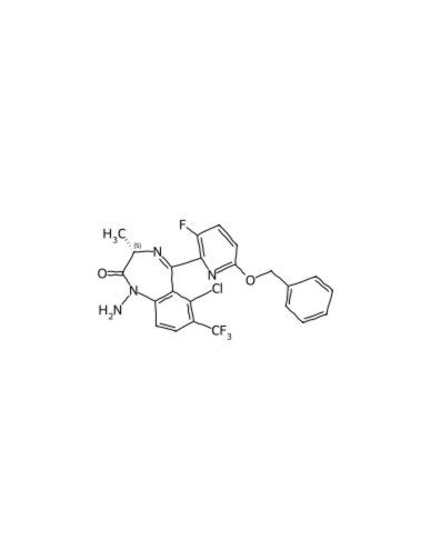 C[C@@H]1N=C(c2nc(OCc3ccccc3)ccc2F)c2c(ccc(C(F)(F)F)c2Cl)N(N)C1=O